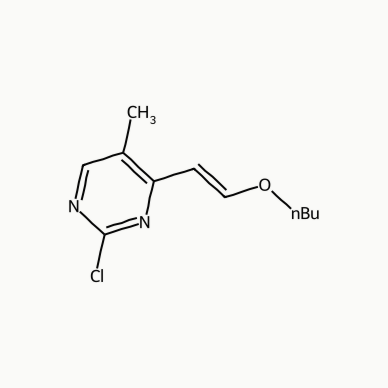 CCCCOC=Cc1nc(Cl)ncc1C